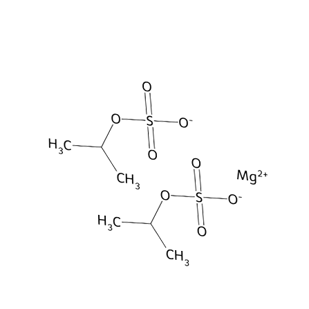 CC(C)OS(=O)(=O)[O-].CC(C)OS(=O)(=O)[O-].[Mg+2]